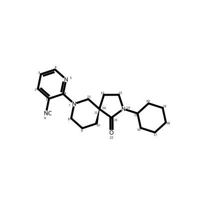 [C-]#[N+]c1cccnc1N1CCC[C@]2(CCN(C3CCCCC3)C2=O)C1